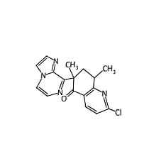 CC1CC(C)(c2nccn3ccnc23)C(=O)c2ccc(Cl)nc21